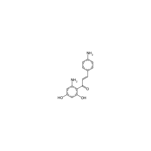 Nc1ccc(C=CC(=O)c2c(N)cc(O)cc2O)cc1